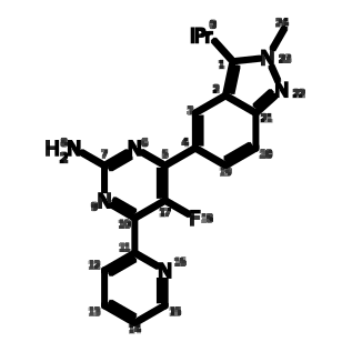 CC(C)c1c2cc(-c3nc(N)nc(-c4ccccn4)c3F)ccc2nn1C